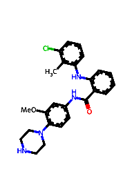 COc1cc(NC(=O)c2ccccc2Nc2cccc(Cl)c2C)ccc1N1CCNCC1